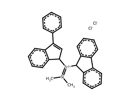 C[Si](C)=[Zr+2]([CH]1C=C(c2ccccc2)c2ccccc21)[CH]1c2ccccc2-c2ccccc21.[Cl-].[Cl-]